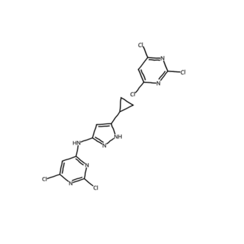 Clc1cc(Cl)nc(Cl)n1.Clc1cc(Nc2cc(C3CC3)[nH]n2)nc(Cl)n1